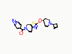 O=C(c1ccncc1)N1CCc2nc(OC3CCN(C4CCC4)CC3)sc2C1